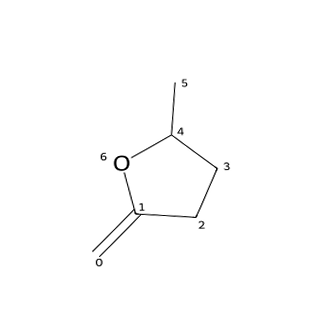 C=C1CCC(C)O1